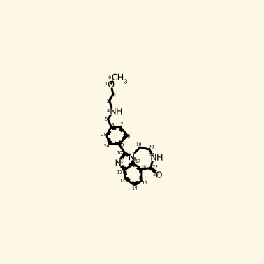 COCCNCc1ccc(-c2nc3cccc4c3n2CCNC4=O)cc1